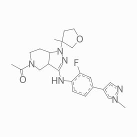 CC(=O)N1CCC2C(C1)C(Nc1ccc(-c3cnn(C)c3)cc1F)=NN2C1(C)CCOC1